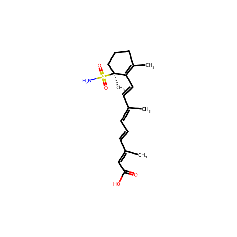 CC1=C(/C=C/C(C)=C/C=C/C(C)=C/C(=O)O)[C@@](C)(S(N)(=O)=O)CCC1